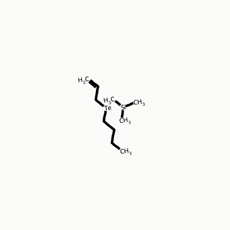 C=CC[Te]CCCC.C[Si](C)C